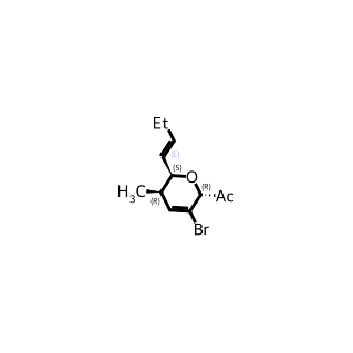 CC/C=C/[C@H]1O[C@H](C(C)=O)C(Br)=C[C@H]1C